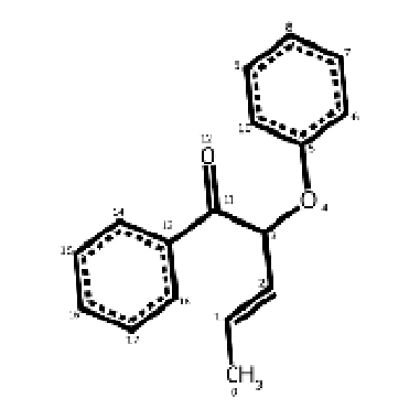 CC=CC(Oc1ccccc1)C(=O)c1ccccc1